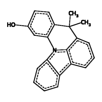 CC1(C)c2ccc(O)cc2-n2c3ccccc3c3cccc1c32